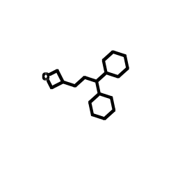 C1CCC(C(CCC2COC2)C2CCCCC2)CC1